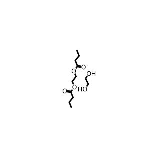 CCCC(=O)OCCOC(=O)CCC.OCCO